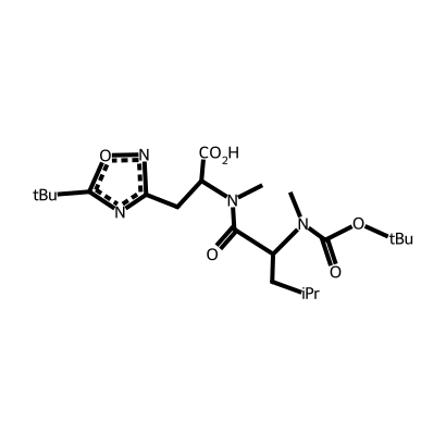 CC(C)CC(C(=O)N(C)C(Cc1noc(C(C)(C)C)n1)C(=O)O)N(C)C(=O)OC(C)(C)C